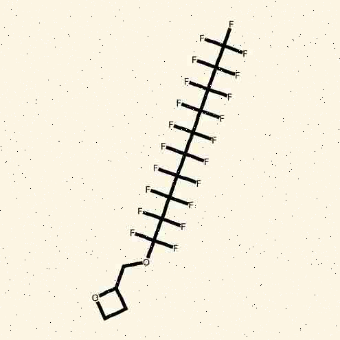 FC(F)(F)C(F)(F)C(F)(F)C(F)(F)C(F)(F)C(F)(F)C(F)(F)C(F)(F)C(F)(F)C(F)(F)OCC1CCO1